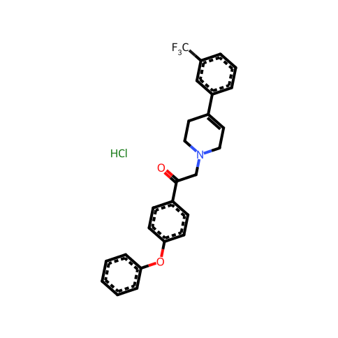 Cl.O=C(CN1CC=C(c2cccc(C(F)(F)F)c2)CC1)c1ccc(Oc2ccccc2)cc1